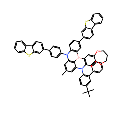 Cc1cc2c3c(c1)N(c1ccc(C(C)(C)C)cc1-c1ccccc1)c1cc4c(cc1B3c1cc(-c3ccc5c(c3)sc3ccccc35)ccc1N2c1ccc(-c2ccc3c(c2)sc2ccccc23)cc1)OCCCO4